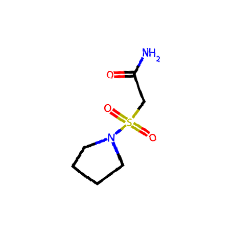 NC(=O)CS(=O)(=O)N1CCCC1